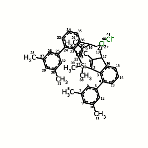 CC1=C2c3c(-c4cc(C)cc(C)c4)cccc3[CH]1[Zr+2][CH]1C(C)=C(c3c(-c4cc(C)cc(C)c4)cccc31)[Si]2(C)C.[Cl-].[Cl-]